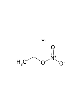 CCO[N+](=O)[O-].[Y]